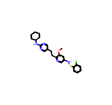 COc1cc(NSc2ccccc2Cl)cnc1CCc1cnc(NC2CCCCC2)nc1